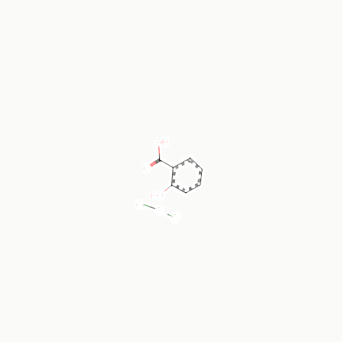 O=C(O)c1ccccc1O.[Cl][Ca][Cl]